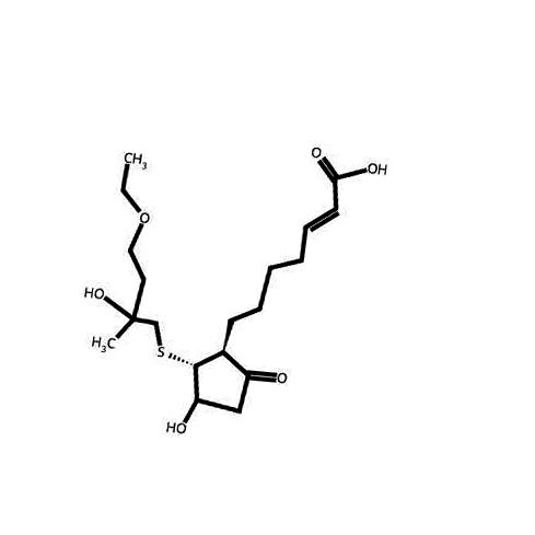 CCOCCC(C)(O)CS[C@H]1C(O)CC(=O)[C@@H]1CCCCC=CC(=O)O